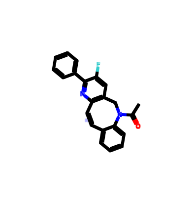 CC(=O)N1Cc2cc(F)c(-c3ccccc3)nc2/C=C\c2ccccc21